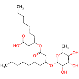 CCCCCCCC(CC(=O)O)OC(=O)CC(CCCCCCC)O[C@@H]1O[C@H](C)[C@@H](O)[C@H](O)[C@@H]1O